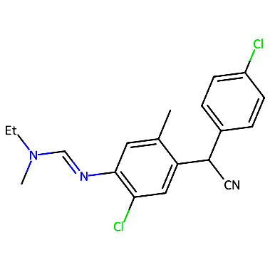 CCN(C)C=Nc1cc(C)c(C(C#N)c2ccc(Cl)cc2)cc1Cl